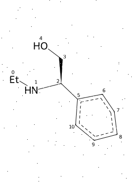 CCN[C@@H](CO)c1ccccc1